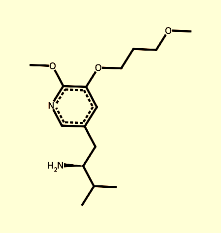 COCCCOc1cc(C[C@H](N)C(C)C)cnc1OC